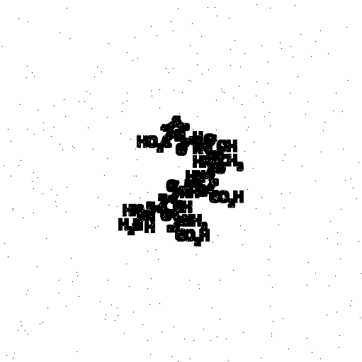 C[C@@H](O)[C@H](NC(=O)[C@H](CCC(=O)O)NC(=O)CNC(=O)[C@H](CCCNC(=N)N)NC(=O)[C@@H](N)CC(=O)O)C(=O)NCC(=O)N1CCC[C@H]1C(=O)O